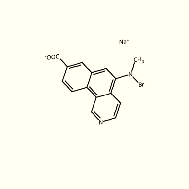 CN(Br)c1cc2cc(C(=O)[O-])ccc2c2cnccc12.[Na+]